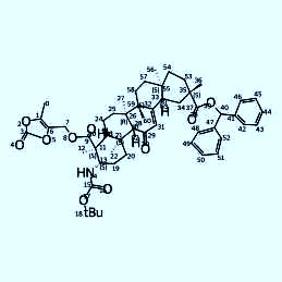 Cc1oc(=O)oc1COC(=O)[C@]1(C)[C@@H](NC(=O)OC(C)(C)C)CC[C@@]2(C)[C@H]1CC[C@]1(C)[C@@H]2C(=O)C=C2[C@@H]3C[C@@](C)(C(=O)OC(c4ccccc4)c4ccccc4)CC[C@]3(C)CC[C@]21C